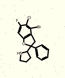 Fc1cc2c(c(Br)c1Cl)CC(c1ccccc1)(C1CCCN1)O2